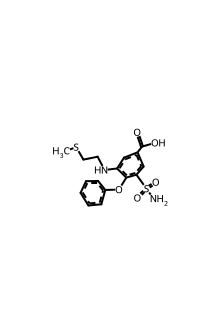 CSCCNc1cc(C(=O)O)cc(S(N)(=O)=O)c1Oc1ccccc1